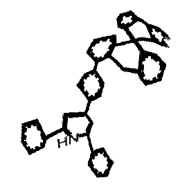 C1=C(c2ccc(-c3cccc4c3Cc3ccccc3C43c4ccccc4-c4ccccc43)cc2)C=C(c2ccccc2)NC1c1ccccc1